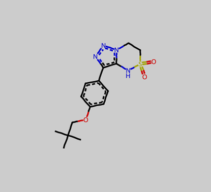 CC(C)(C)COc1ccc(-c2nnn3c2NS(=O)(=O)CC3)cc1